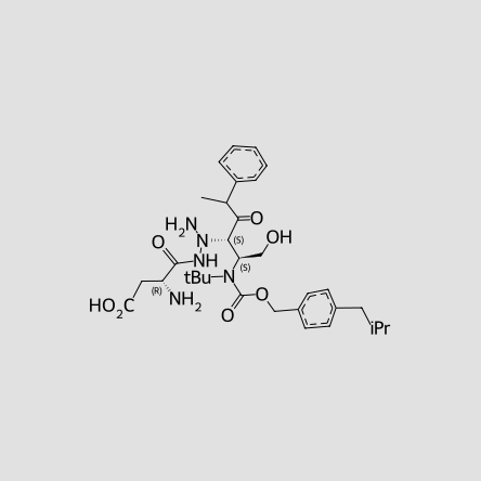 CC(C)Cc1ccc(COC(=O)N([C@H](CO)[C@@H](C(=O)C(C)c2ccccc2)N(N)NC(=O)[C@H](N)CC(=O)O)C(C)(C)C)cc1